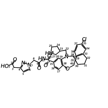 O=C(O)Cc1ccn(CC(=O)NS(=O)(=O)c2ccc3c(c2)N(CC2CCNC2)C[C@@]2(CCCc4cc(Cl)ccc42)CO3)n1